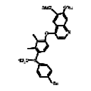 CCCCc1ccc(N(C(=O)O)c2ccc(Oc3ccnc4cc(OC)c(OC)cc34)c(C)c2C)cc1